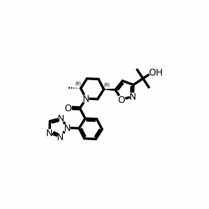 C[C@@H]1CC[C@@H](c2cc(C(C)(C)O)no2)CN1C(=O)c1ccccc1-n1ncnn1